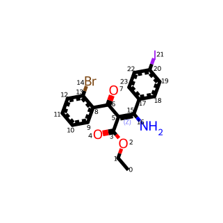 CCOC(=O)/C(C(=O)c1ccccc1Br)=C(\N)c1ccc(I)cc1